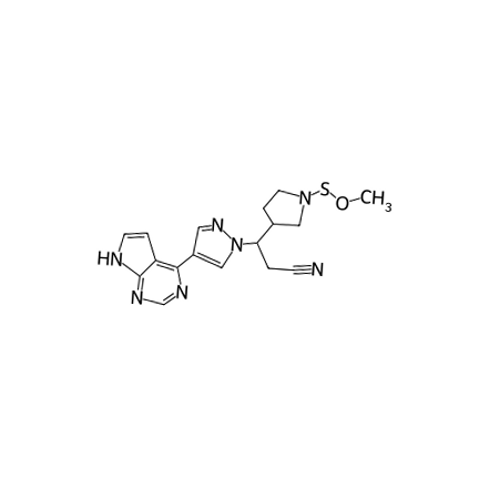 COSN1CCC(C(CC#N)n2cc(-c3ncnc4[nH]ccc34)cn2)C1